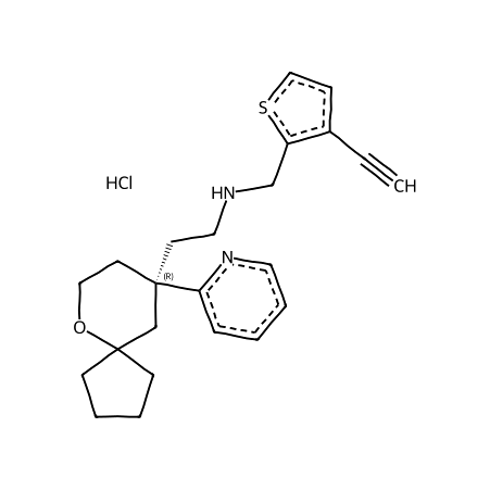 C#Cc1ccsc1CNCC[C@@]1(c2ccccn2)CCOC2(CCCC2)C1.Cl